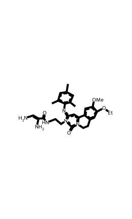 CCOc1cc2c(cc1OC)-c1c/c(=N\c3c(C)cc(C)cc3C)n(CCNC(=O)/C(N)=C/N)c(=O)n1CC2